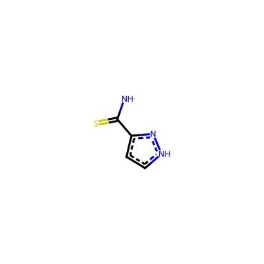 [NH]C(=S)c1cc[nH]n1